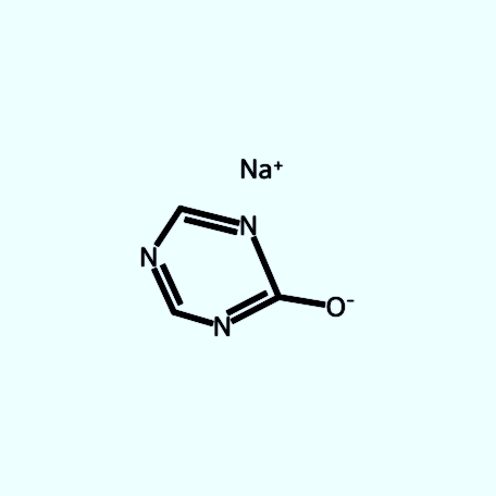 [Na+].[O-]c1ncncn1